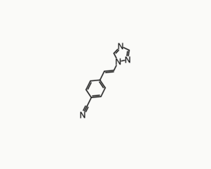 N#Cc1ccc(C=Cn2cncn2)cc1